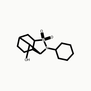 O=S1(=O)C2CC3CCC2C(C3O)N1C1CCCCC1